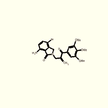 C=C(CN1Cc2c(Br)ccc(N)c2C1=O)C(=O)c1cc(OC)c(OC)c(OC)c1